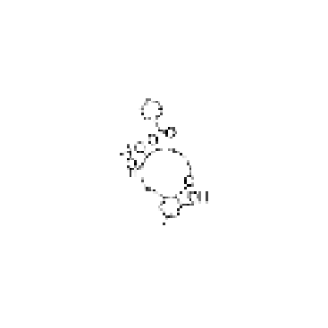 Cc1cc(C)c2c(c1)/C=C/C[C@@H]1OC(C)(C)OC1C(OC(=O)c1ccccc1)/C=C\CCOC2O